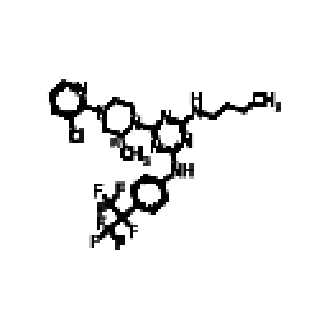 CCCCNc1nc(Nc2ccc(C(F)(C(F)(F)F)C(F)(F)F)cc2)nc(N2CCN(c3ncccc3Cl)C[C@H]2C)n1